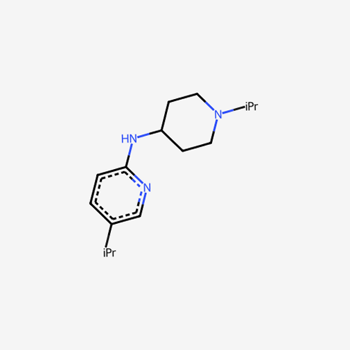 CC(C)c1ccc(NC2CCN(C(C)C)CC2)nc1